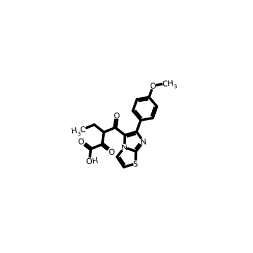 CCC(C(=O)C(=O)O)C(=O)c1c(-c2ccc(OC)cc2)nc2sccn12